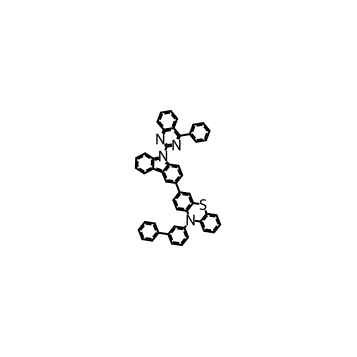 c1ccc(-c2cccc(N3c4ccccc4Sc4cc(-c5ccc6c(c5)c5ccccc5n6-c5nc(-c6ccccc6)c6ccccc6n5)ccc43)c2)cc1